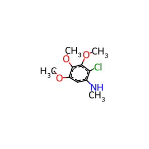 CNc1cc(OC)c(OC)c(OC)c1Cl